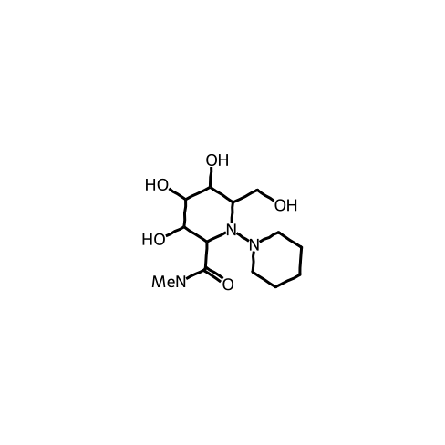 CNC(=O)C1C(O)C(O)C(O)C(CO)N1N1CCCCC1